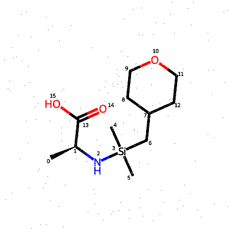 C[C@H](N[Si](C)(C)CC1CCOCC1)C(=O)O